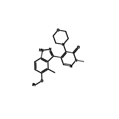 Cc1c(OC(C)C)ccc2[nH]nc(-c3cnn(C)c(=O)c3N3CCOCC3)c12